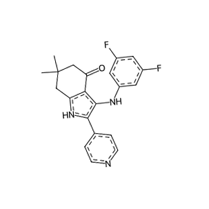 CC1(C)CC(=O)c2c([nH]c(-c3ccncc3)c2Nc2cc(F)cc(F)c2)C1